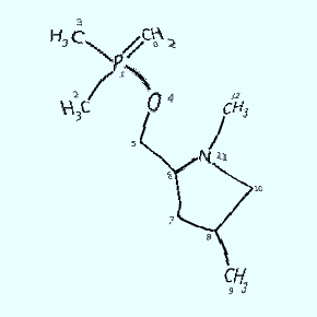 C=P(C)(C)OCC1CC(C)CN1C